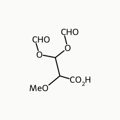 COC(C(=O)O)C(OC=O)OC=O